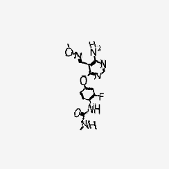 CNC(=O)Nc1ccc(Oc2ncnc(N)c2/C=N/OC)cc1F